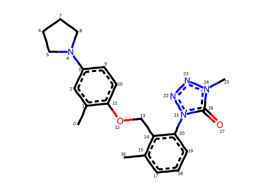 Cc1cc(N2CCCC2)ccc1OCc1c(C)cccc1-n1nnn(C)c1=O